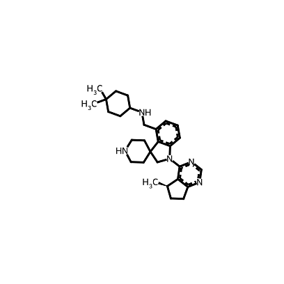 C[C@@H]1CCc2ncnc(N3CC4(CCNCC4)c4c(CNC5CCC(C)(C)CC5)cccc43)c21